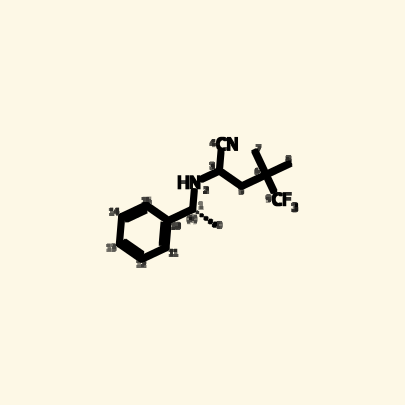 C[C@@H](NC(C#N)CC(C)(C)C(F)(F)F)c1ccccc1